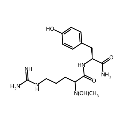 CN(O)C(CCCNC(=N)N)C(=O)N[C@@H](Cc1ccc(O)cc1)C(N)=O